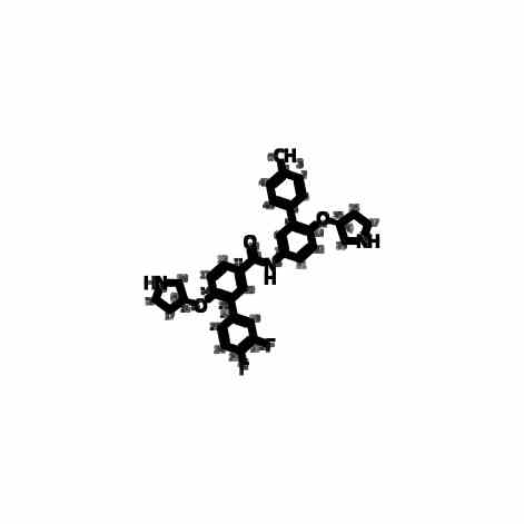 Cc1ccc(-c2cc(NC(=O)c3ccc(O[C@H]4CCNC4)c(-c4ccc(F)c(F)c4)c3)ccc2O[C@H]2CCNC2)cc1